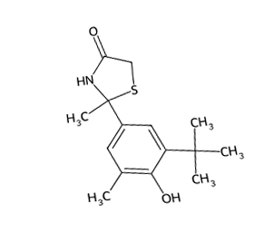 Cc1cc(C2(C)NC(=O)CS2)cc(C(C)(C)C)c1O